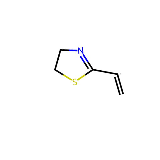 C=[C]C1=NCCS1